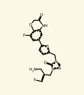 NC/C(=C\F)Cn1ncn(Cc2ccc(-c3cc(F)c4c(c3)NC(=O)CO4)s2)c1=O